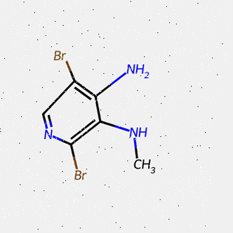 CNc1c(Br)ncc(Br)c1N